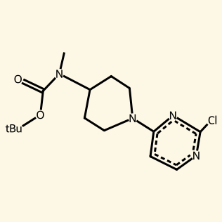 CN(C(=O)OC(C)(C)C)C1CCN(c2ccnc(Cl)n2)CC1